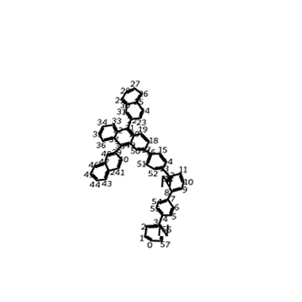 c1ccc(-c2ccc(-c3cccc(-c4ccc(-c5ccc6c(-c7ccc8ccccc8c7)c7ccccc7c(-c7ccc8ccccc8c7)c6c5)cc4)n3)cc2)nc1